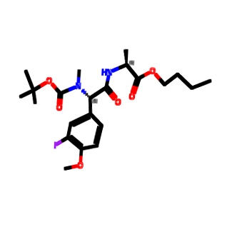 CCCCOC(=O)[C@H](C)NC(=O)[C@H](c1ccc(OC)c(I)c1)N(C)C(=O)OC(C)(C)C